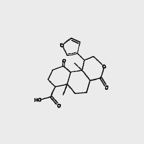 CC12CCC3C(=O)OCC(c4ccoc4)C3(C)C1C(=O)CCC2C(=O)O